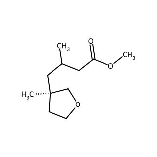 COC(=O)CC(C)C[C@]1(C)CCOC1